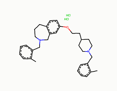 Cc1ccccc1CN1CCC(CCOc2ccc3c(c2)CN(Cc2ccccc2C)CCC3)CC1.Cl.Cl